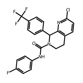 O=C(Nc1ccc(F)cc1)N1CCc2ccc(Cl)nc2C1c1ccc(C(F)(F)F)cc1